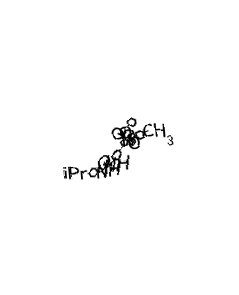 Cc1ccc(S(=O)(=O)n2cc(-c3ccc(NC(=O)Nc4ccc(C(C)C)cc4)cc3)cc2C(=O)OCc2ccccc2)cc1